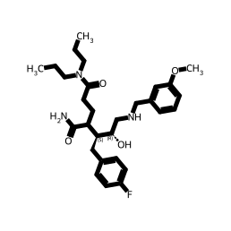 CCCN(CCC)C(=O)CCC(C(N)=O)[C@H](Cc1ccc(F)cc1)[C@@H](O)CNCc1cccc(OC)c1